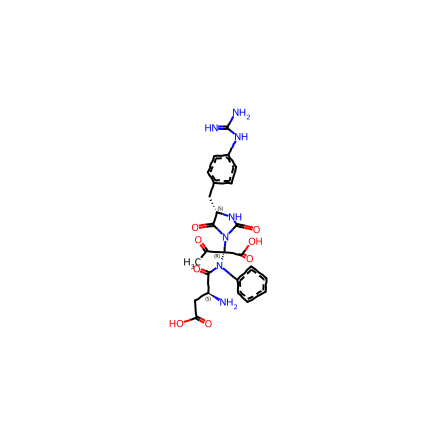 CC(=O)[C@](C(=O)O)(N1C(=O)N[C@@H](Cc2ccc(NC(=N)N)cc2)C1=O)N(C(=O)[C@@H](N)CC(=O)O)c1ccccc1